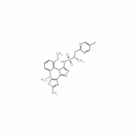 COc1cccc(OC)c1-n1c(NS(=O)(=O)[C@H](C)Cc2ncc(F)cn2)nnc1-c1coc(C)n1